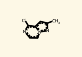 Cc1cc2c(Cl)nccn2n1